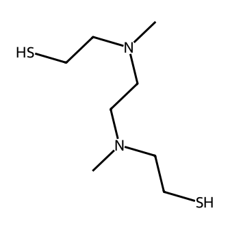 CN(CCS)CCN(C)CCS